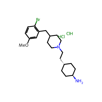 COc1ccc(Br)c(CC2CCN(CC[C@H]3CC[C@H](N)CC3)CC2)c1.Cl.Cl